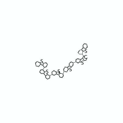 C1=Cc2c(sc3ccccc23)C(c2cccc3sc4cc(-c5ccc6c(c5)sc5cc(-c7cccc8c7sc7ccc(-c9cccc%10c9sc9c(-c%11cccc%12sc%13ccccc%13c%11%12)cccc9%10)cc78)ccc56)ccc4c23)C1